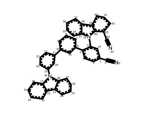 N#Cc1ccc(-c2cccc(-c3cccc(-n4c5ccccc5c5ccccc54)c3)c2)c(-n2c3ccccc3c3cccc(C#N)c32)c1